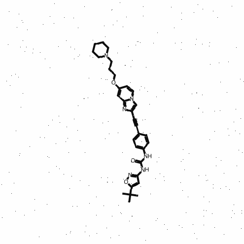 CC(C)(C)c1cc(NC(=O)Nc2ccc(C#Cc3cn4ccc(OCCCN5CCCCC5)cc4n3)cc2)no1